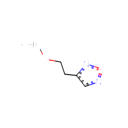 O=COCCc1cnon1